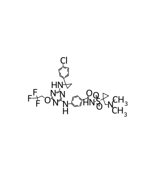 CN(C)CC1(S(=O)(=O)NC(=O)c2ccc(Nc3nc(NC4(c5ccc(Cl)cc5)CC4)nc(OCC(F)(F)F)n3)cc2)CC1